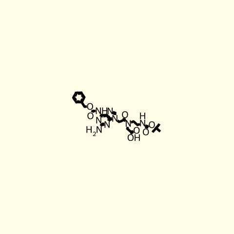 CC(C)(C)OC(=O)NCCN(CC(=O)O)C(=O)Cn1cnc2c(NC(=O)OCc3ccccc3)nc(N)nc21